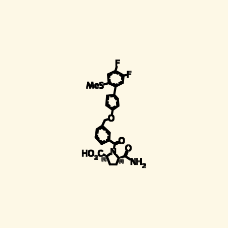 CSc1cc(F)c(F)cc1-c1ccc(OCc2cccc(C(=O)N3[C@@H](C(N)=O)CC[C@H]3C(=O)O)c2)cc1